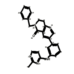 Cc1nccc(Nc2cccc(-c3cnc4c(c3)C(=O)N(Cc3ccccc3)CC4)c2)n1